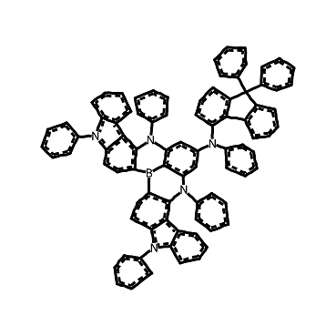 c1ccc(N(c2cc3c4c(c2)N(c2ccccc2)c2c(ccc5c2c2ccccc2n5-c2ccccc2)B4c2ccc4c(c2N3c2ccccc2)c2ccccc2n4-c2ccccc2)c2cccc3c2-c2ccccc2C3(c2ccccc2)c2ccccc2)cc1